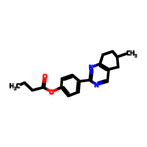 CCCC(=O)Oc1ccc(-c2ncc3c(n2)CCC(C)C3)cc1